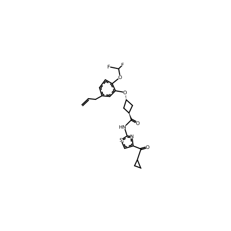 C=CCc1ccc(OC(F)F)c(O[C@H]2C[C@H](C(=O)Nc3nc(C(=O)C4CC4)cs3)C2)c1